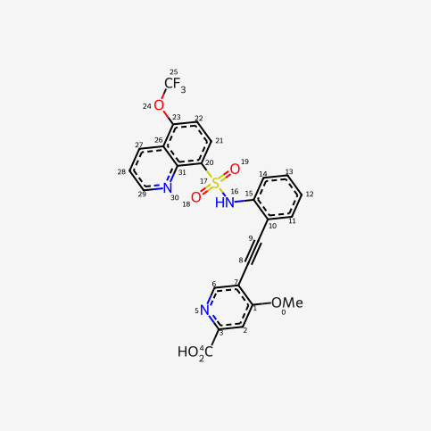 COc1cc(C(=O)O)ncc1C#Cc1ccccc1NS(=O)(=O)c1ccc(OC(F)(F)F)c2cccnc12